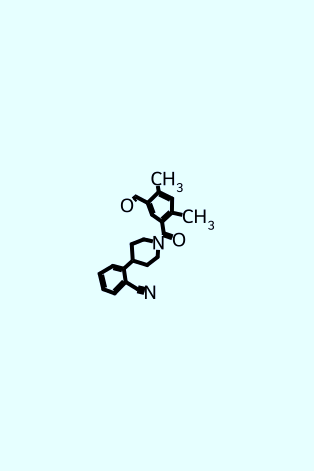 Cc1cc(C)c(C(=O)N2CCC(c3ccccc3C#N)CC2)cc1C=O